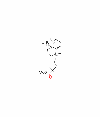 COC(=O)C(C)(C)CCC[C@]1(C)CCC[C@H]2C1=CCC[C@@]2(C)C=O